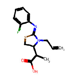 C=CCN1C(=Nc2ccccc2F)SCC1C(C)C(=O)O